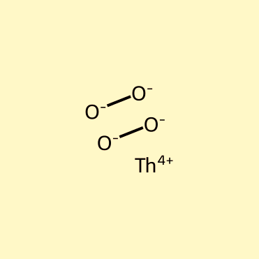 [O-][O-].[O-][O-].[Th+4]